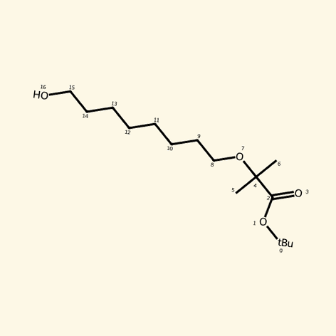 CC(C)(C)OC(=O)C(C)(C)OCCCCCCCCO